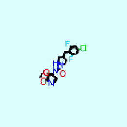 O=C(Nc1ccnc2c1OCCO2)N1CCC(Cc2c(F)cc(Cl)cc2F)CC1